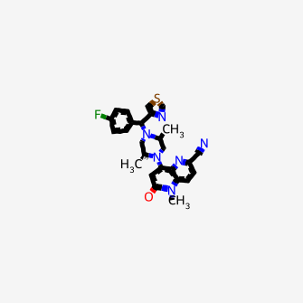 CC1CN(c2cc(=O)n(C)c3ccc(C#N)nc23)[C@@H](C)CN1C(c1ccc(F)cc1)c1cscn1